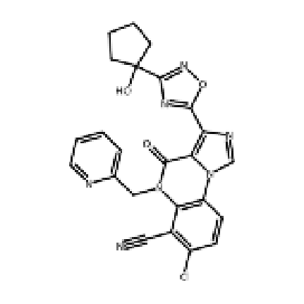 N#Cc1c(Cl)ccc2c1n(Cc1ccccn1)c(=O)c1c(-c3nc(C4(O)CCCC4)no3)ncn12